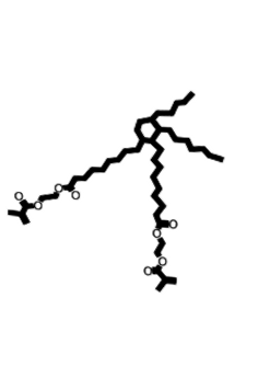 C=C(C)C(=O)OCCOC(=O)CCCCCCCCC1CCC(CCCCC)C(CCCCCCC)C1CCCCCCCCC(=O)OCCOC(=O)C(=C)C